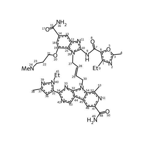 CCc1nc(C)oc1C(=O)Nc1nc2cc(C(N)=O)cc(OCCCNC)c2n1C/C=C/Cn1c2nc(-c3cc(C)nn3CC)ncc2c2cc(C(N)=O)nc(C)c21